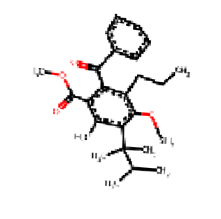 CCCc1c(O[SiH3])c(C(C)(C)C(C)C)c(C)c(C(=O)OC)c1C(=O)c1ccccc1